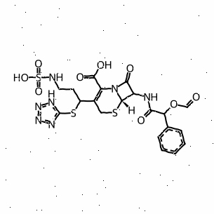 O=COC(C(=O)NC1C(=O)N2C(C(=O)O)=C(C(CCNS(=O)(=O)O)Sc3nnn[nH]3)CS[C@@H]12)c1ccccc1